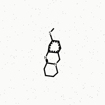 CSc1ccc2c(c1)N=C1CCCCN1C2